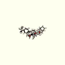 Cn1nc(OC(=O)N2C3CCC2CC(Oc2ccn(-c4ccc(S(C)(=O)=O)cc4)c(=O)c2)C3)cc1C(F)(F)F